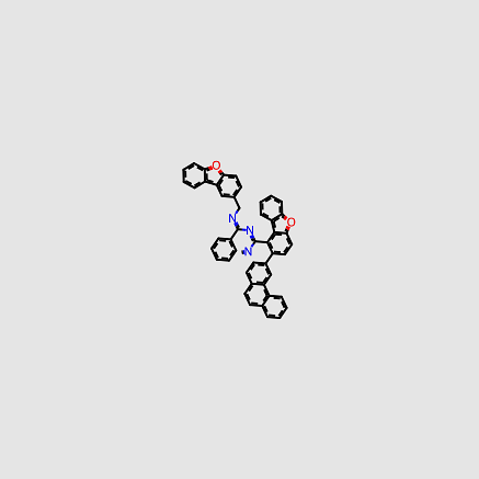 C=N/C(=N\C(=N/Cc1ccc2oc3ccccc3c2c1)c1ccccc1)c1c(-c2ccc3ccc4ccccc4c3c2)ccc2oc3ccccc3c12